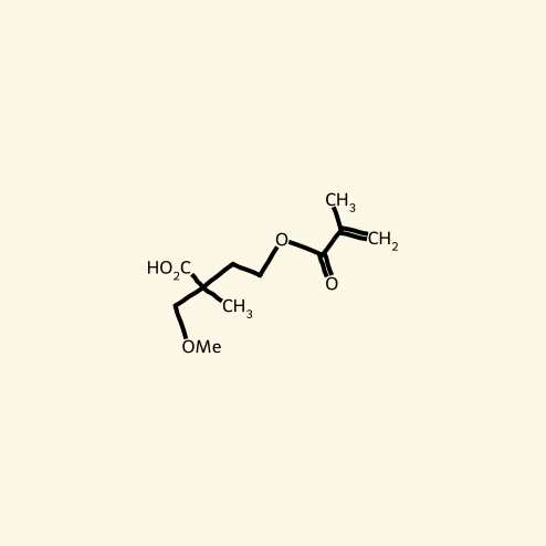 C=C(C)C(=O)OCCC(C)(COC)C(=O)O